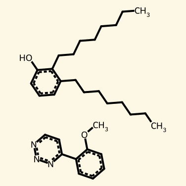 CCCCCCCCc1cccc(O)c1CCCCCCCC.COc1ccccc1-c1ccnnn1